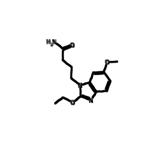 CCOc1nc2ccc(OC)cc2n1CCCC(N)=O